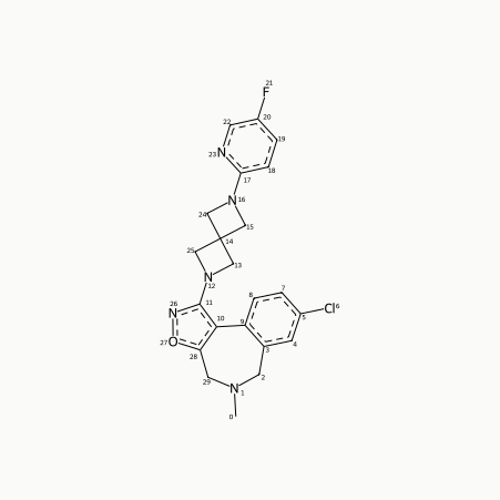 CN1Cc2cc(Cl)ccc2-c2c(N3CC4(CN(c5ccc(F)cn5)C4)C3)noc2C1